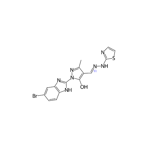 Cc1nn(-c2nc3cc(Br)ccc3[nH]2)c(O)c1/C=N/Nc1nccs1